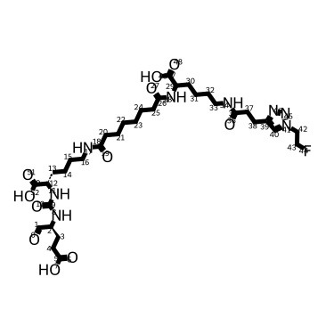 O=C[C@H](CCC(=O)O)NC(=O)N[C@@H](CCCCNC(=O)CCCCCCC(=O)NC(CCCCNC(=O)CCc1cn(CCF)nn1)C(=O)O)C(=O)O